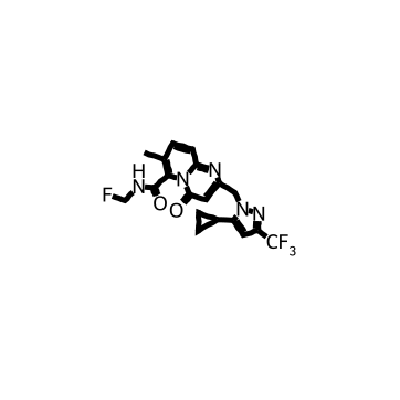 Cc1ccc2nc(Cn3nc(C(F)(F)F)cc3C3CC3)cc(=O)n2c1C(=O)NCF